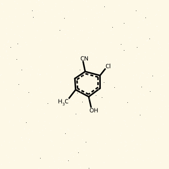 Cc1cc(C#N)c(Cl)cc1O